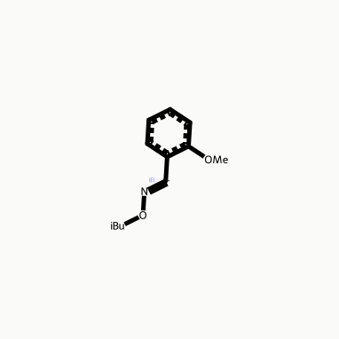 CCC(C)O/N=[C]/c1ccccc1OC